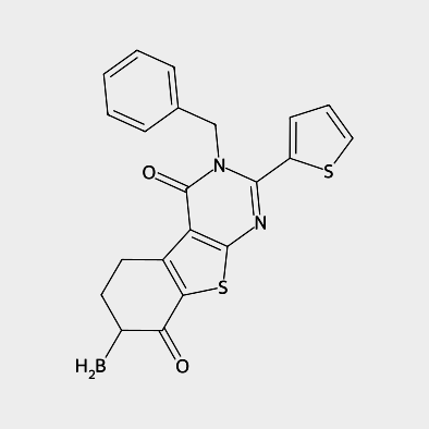 BC1CCc2c(sc3nc(-c4cccs4)n(Cc4ccccc4)c(=O)c23)C1=O